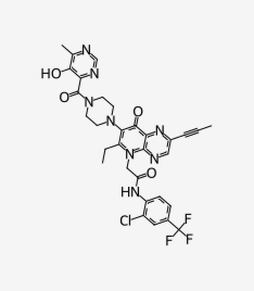 CC#Cc1cnc2c(n1)c(=O)c(N1CCN(C(=O)c3ncnc(C)c3O)CC1)c(CC)n2CC(=O)Nc1ccc(C(F)(F)F)cc1Cl